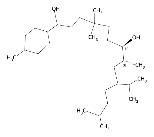 CC(C)CCC(C[C@@H](C)[C@H](O)CCC(C)(C)CCC(O)C1CCC(C)CC1)C(C)C